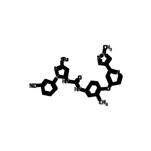 Cc1cc(NC(=O)Nc2cc(C(C)(C)C)nn2-c2cccc(C#N)c2)ccc1Oc1ccnc(-c2cnn(C)c2)c1